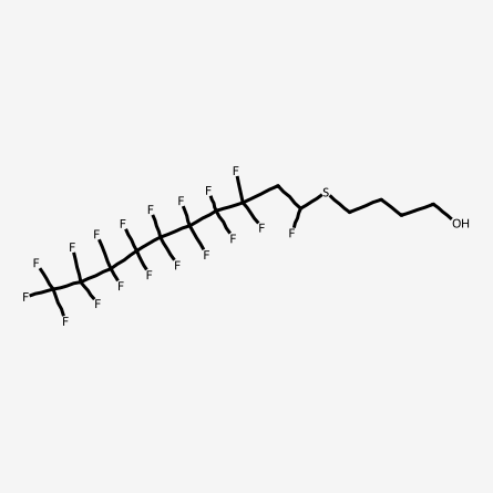 OCCCCSC(F)CC(F)(F)C(F)(F)C(F)(F)C(F)(F)C(F)(F)C(F)(F)C(F)(F)C(F)(F)F